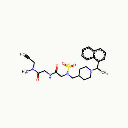 C#CCN(C)C(=O)CNC(=O)CN(CC1CCN(C(C)c2cccc3ccccc23)CC1)[SH](=O)=O